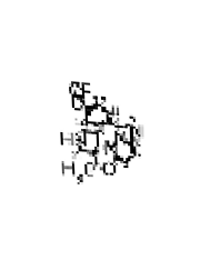 CC(Oc1ccc2ncc(-c3ccc(OC(F)(F)F)cc3)n2n1)C1CCCNC1